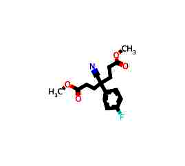 COC(=O)CCC(C#N)(CCC(=O)OC)c1ccc(F)cc1